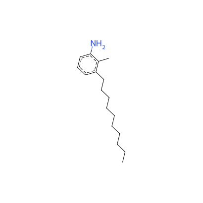 CCCCCCCCCCc1cccc(N)c1C